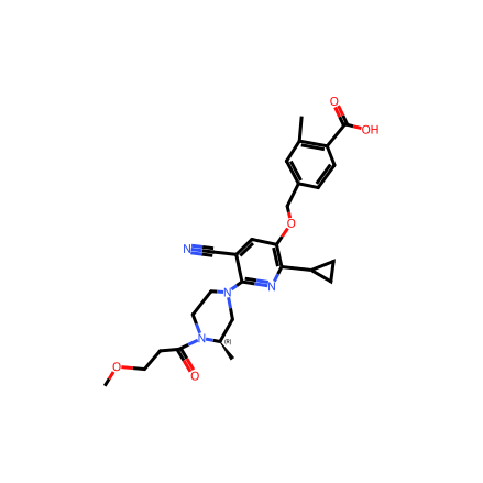 COCCC(=O)N1CCN(c2nc(C3CC3)c(OCc3ccc(C(=O)O)c(C)c3)cc2C#N)C[C@H]1C